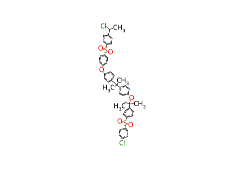 CCC(C)(Oc1ccc(C(C)(C)c2ccc(Oc3ccc(S(=O)(=O)c4ccc(C(C)Cl)cc4)cc3)cc2)cc1)c1ccc(S(=O)(=O)c2ccc(Cl)cc2)cc1